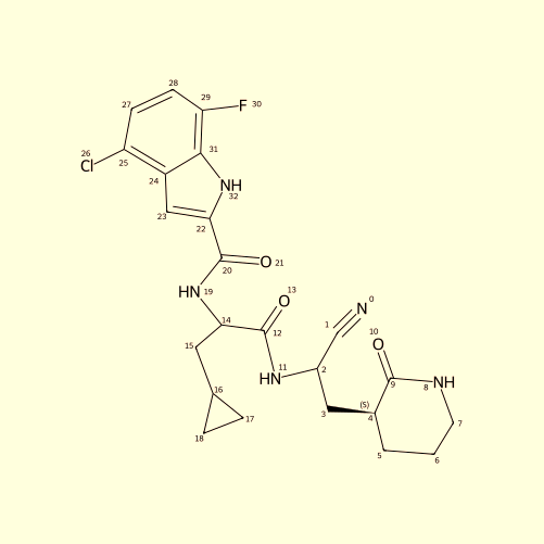 N#CC(C[C@@H]1CCCNC1=O)NC(=O)C(CC1CC1)NC(=O)c1cc2c(Cl)ccc(F)c2[nH]1